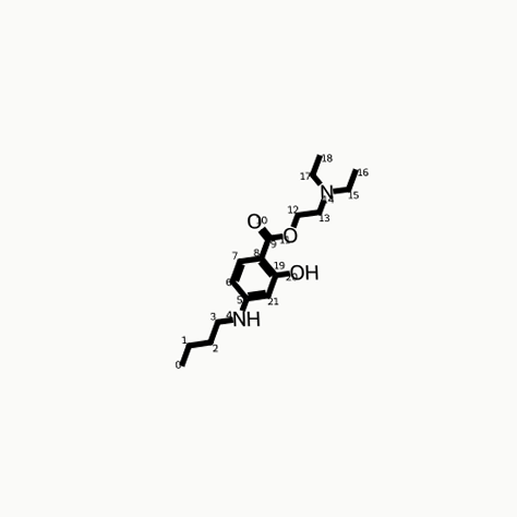 CCCCNc1ccc(C(=O)OCCN(CC)CC)c(O)c1